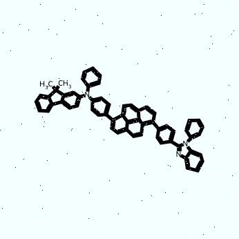 CC1(C)c2ccccc2-c2ccc(N(c3ccccc3)c3ccc(-c4ccc5ccc6c(-c7ccc(-c8nc9ccccc9n8-c8ccccc8)cc7)ccc7ccc4c5c76)cc3)cc21